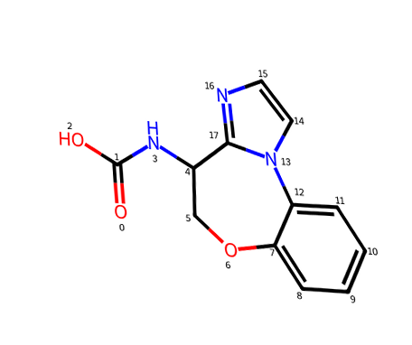 O=C(O)NC1COc2ccccc2-n2ccnc21